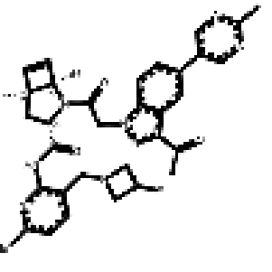 CC(=O)c1nn(CC(=O)N2[C@H](C(=O)Nc3nc(Br)ccc3CN3CC(F)C3)C[C@@]3(C)C=C[C@@H]23)c2ccc(-c3cnc(C)nc3)cc12